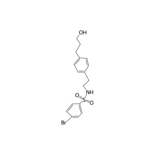 O=S(=O)(NCCc1ccc(CCCO)cc1)c1ccc(Br)cc1